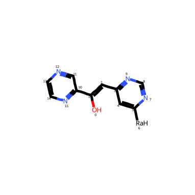 O/C(=C\c1c[c]([RaH])ncn1)c1cnccn1